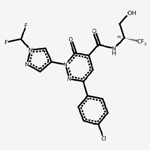 O=C(N[C@H](CO)C(F)(F)F)c1cc(-c2ccc(Cl)cc2)nn(-c2cnn(C(F)F)c2)c1=O